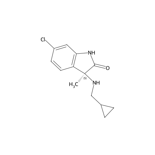 C[C@@]1(NCC2CC2)C(=O)Nc2cc(Cl)ccc21